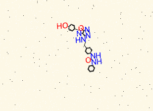 O=C(Nc1ccccc1)Nc1ccc(CCNc2ncnc3oc(-c4ccc(O)cc4)nc23)cc1